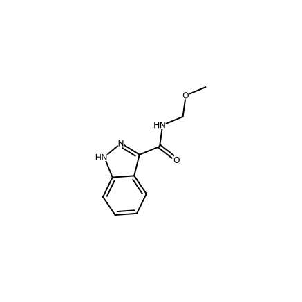 COCNC(=O)c1n[nH]c2ccccc12